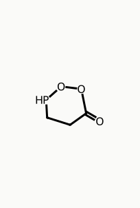 O=C1CCPOO1